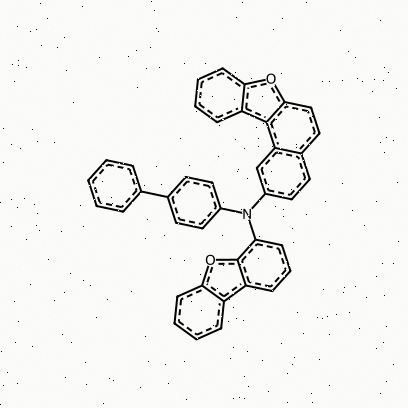 c1ccc(-c2ccc(N(c3ccc4ccc5oc6ccccc6c5c4c3)c3cccc4c3oc3ccccc34)cc2)cc1